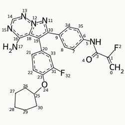 C=C(F)C(=O)Nc1ccc(-c2nn3ncnc(N)c3c2-c2ccc(OC3CCCCC3)c(F)c2)cc1